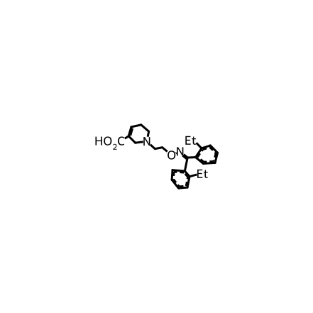 CCc1ccccc1C(=NOCCN1CCC=C(C(=O)O)C1)c1ccccc1CC